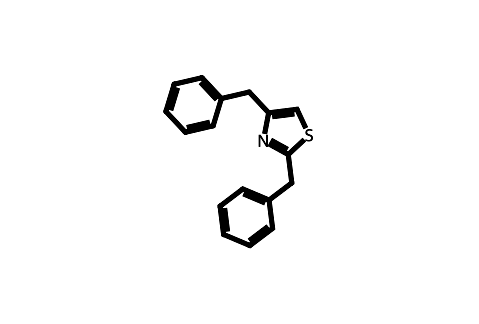 c1ccc(Cc2csc(Cc3ccccc3)n2)cc1